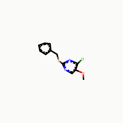 COc1cnc(SCc2ccccc2)nc1Cl